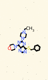 CCN1CCN(c2nc(N3CCOCC3)c3ncnc(SCc4ccccc4)c3n2)CC1